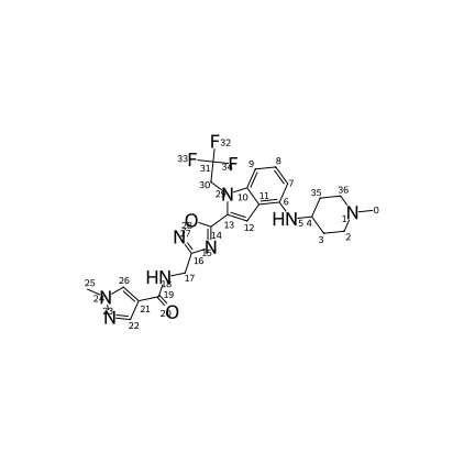 CN1CCC(Nc2cccc3c2cc(-c2nc(CNC(=O)c4cnn(C)c4)no2)n3CC(F)(F)F)CC1